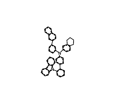 c1cc(-c2ccc3ccccc3c2)cc(N(c2ccc(-c3ccccc3-n3c4ccccc4c4ccccc43)cc2)c2ccc3c(c2)CCCC3)c1